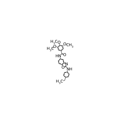 CCc1ccc(Nc2nc3cc(NC(=O)c4cc(OC)c(OC)c(OC)c4)ccc3o2)cc1